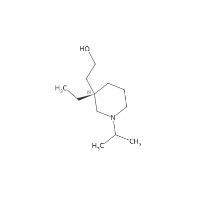 CC[C@@]1(CCO)CCCN(C(C)C)C1